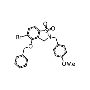 COc1ccc(CN2Cc3c(ccc(Br)c3OCc3ccccc3)S2(=O)=O)cc1